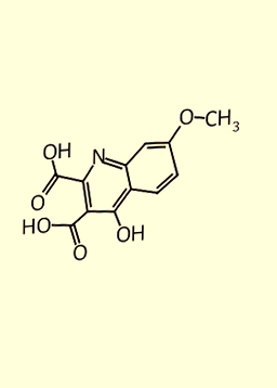 COc1ccc2c(O)c(C(=O)O)c(C(=O)O)nc2c1